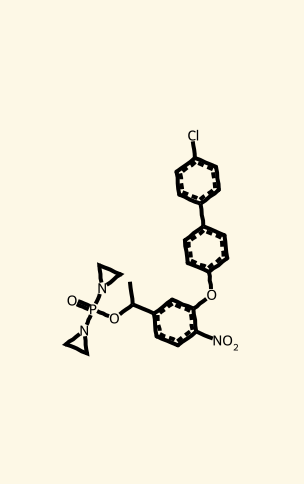 CC(OP(=O)(N1CC1)N1CC1)c1ccc([N+](=O)[O-])c(Oc2ccc(-c3ccc(Cl)cc3)cc2)c1